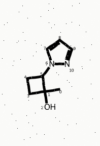 CC1(O)CCC1n1cccn1